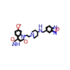 CNC(=O)c1cc(=O)n(CCN2CCC(NCc3ccc4nonc4c3)CC2)c2cc(OC)ccc12